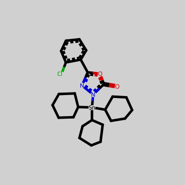 O=c1oc(-c2ccccc2Cl)n[n]1[Sn]([CH]1CCCCC1)([CH]1CCCCC1)[CH]1CCCCC1